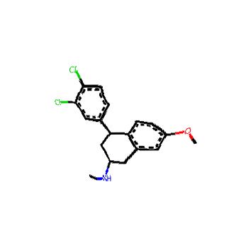 CNC1Cc2cc(OC)ccc2C(c2ccc(Cl)c(Cl)c2)C1